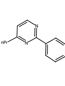 CCCc1ccnc(-c2ccccc2)n1